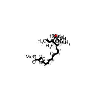 C/C=C/[C@H](O[Si](C)(C)C(C)(C)C)C(C)(C)[C@H](C/C=C\C1OC1/C=C/C=C\c1nc(C(=O)OC)co1)O[Si](C)(C)C